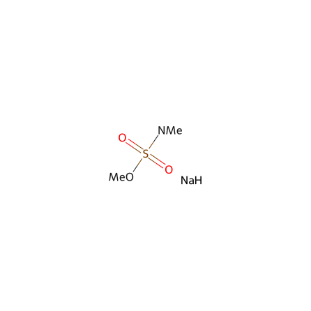 CNS(=O)(=O)OC.[NaH]